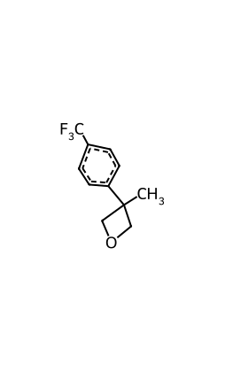 CC1(c2ccc(C(F)(F)F)cc2)COC1